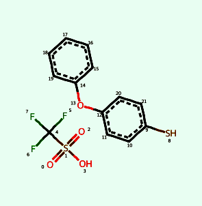 O=S(=O)(O)C(F)(F)F.Sc1ccc(Oc2ccccc2)cc1